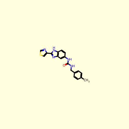 Cc1ccc(CNC(=O)Nc2ccc3[nH]c(-c4cscn4)nc3c2)cc1